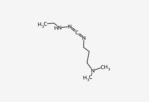 CCNN=C=NCCCN(C)C